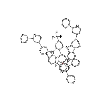 Fc1cc(F)cc(-c2c(-n3c4cc(-c5ccnc(-c6ccccc6)c5)ccc4c4ccc(-c5ccnc(-c6ccccc6)c5)cc43)cc(C(F)(F)F)cc2-n2c3cc(-c4ccnc(-c5ccccc5)c4)ccc3c3ccc(-c4ccnc(-c5ccccc5)c4)cc32)c1